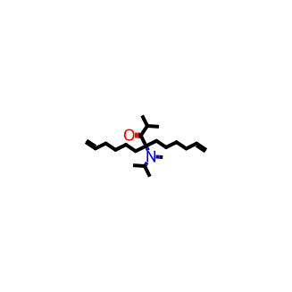 C=CCCCCC(CCCCC=C)(C(=O)C(C)C)N(C)C(C)C